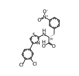 O=C(O)[C@@H](Cc1cccc([N+](=O)[O-])c1)Nc1nc(-c2ccc(Cl)c(Cl)c2)cs1